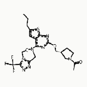 CCCc1cc2c(N3CCn4c(nnc4C(F)(F)F)C3)nc(OC[C@@H]3CCN(C(C)=O)C3)nc2s1